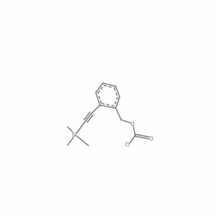 C[Si](C)(C)C#Cc1ccccc1COC(=O)Cl